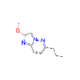 CCCc1ccc2nc(OC)cn2n1